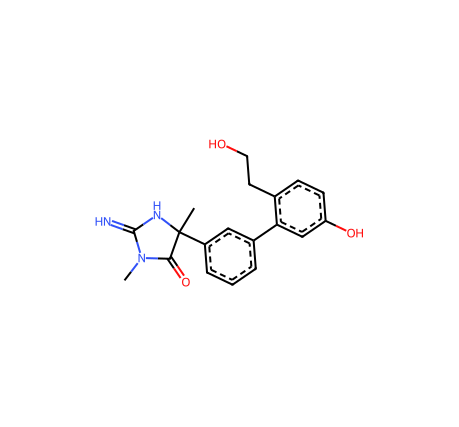 CN1C(=N)NC(C)(c2cccc(-c3cc(O)ccc3CCO)c2)C1=O